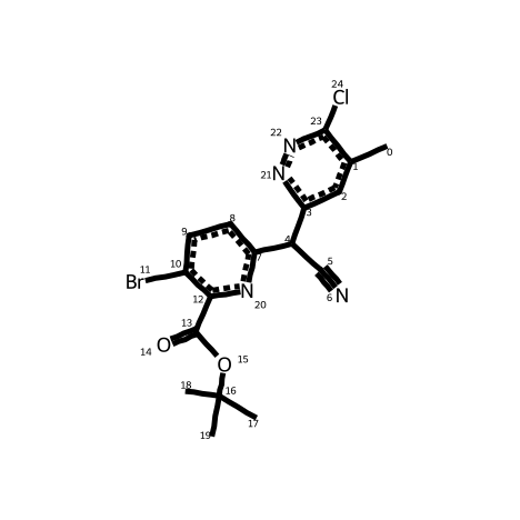 Cc1cc(C(C#N)c2ccc(Br)c(C(=O)OC(C)(C)C)n2)nnc1Cl